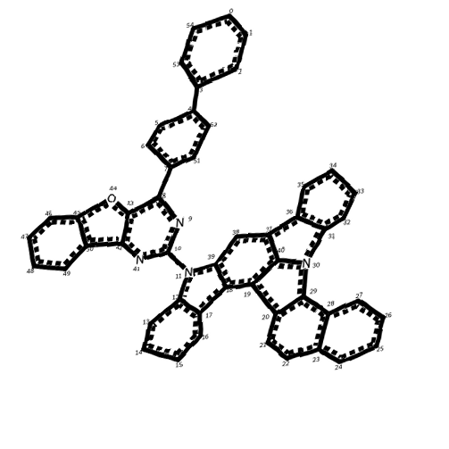 c1ccc(-c2ccc(-c3nc(-n4c5ccccc5c5c6c7ccc8ccccc8c7n7c8ccccc8c(cc54)c67)nc4c3oc3ccccc34)cc2)cc1